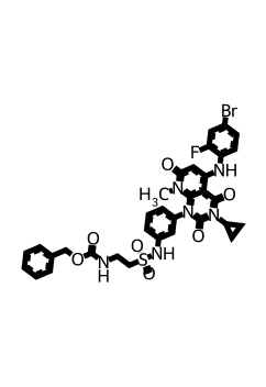 Cn1c(=O)cc(Nc2ccc(Br)cc2F)c2c(=O)n(C3CC3)c(=O)n(-c3cccc(NS(=O)(=O)CCNC(=O)OCc4ccccc4)c3)c21